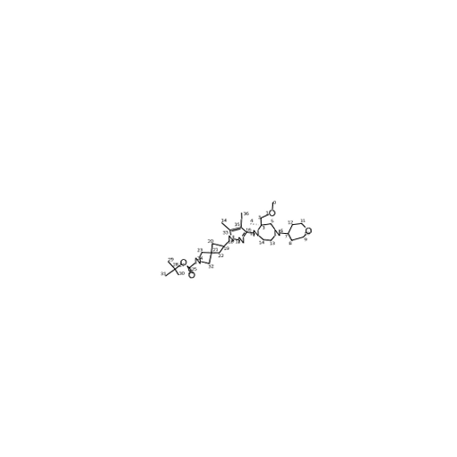 COC[C@@]1(C)CN(C2CCOCC2)CCN1c1nn(C2CC3(C2)CN(C(=O)OC(C)(C)C)C3)c(C)c1I